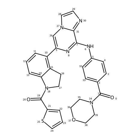 O=C(c1ccc(Nc2nc(-c3cccc4c3CCN4C(=O)c3cccs3)cn3ccnc23)cc1)N1CCOCC1